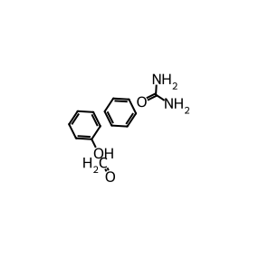 C=O.NC(N)=O.Oc1ccccc1.c1ccccc1